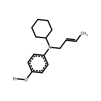 CC=CCN(c1ccc(OCC)cc1)C1CCCCC1